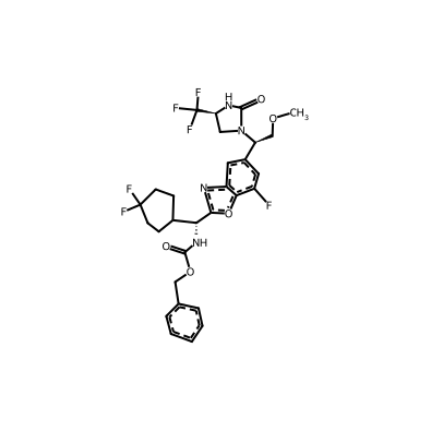 COC[C@@H](c1cc(F)c2oc([C@H](NC(=O)OCc3ccccc3)C3CCC(F)(F)CC3)nc2c1)N1C[C@@H](C(F)(F)F)NC1=O